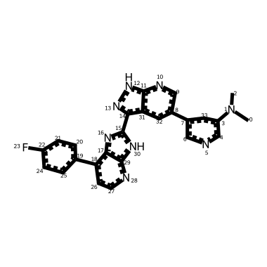 CN(C)c1cncc(-c2cnc3[nH]nc(-c4nc5c(-c6ccc(F)cc6)ccnc5[nH]4)c3c2)c1